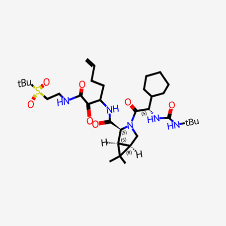 C=CCCC(NC(=O)[C@@H]1[C@H]2[C@@H](CN1C(=O)[C@@H](NC(=O)NC(C)(C)C)C1CCCCC1)C2(C)C)C(=O)C(=O)NCCS(=O)(=O)C(C)(C)C